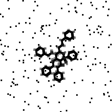 O=[P@@]1(c2ccccc2)O[C@H](COCc2ccccc2)[C@@H](OCc2ccccc2)[C@H](OCc2ccccc2)C1NCc1ccccc1